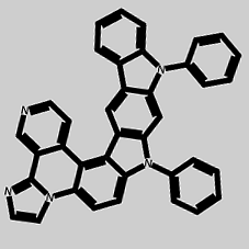 c1ccc(-n2c3ccccc3c3cc4c5c6c7ccncc7c7nccn7c6ccc5n(-c5ccccc5)c4cc32)cc1